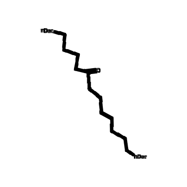 CCCCCCCCCCCCCCCCCC(=O)CCCCCCCCCCCCCC